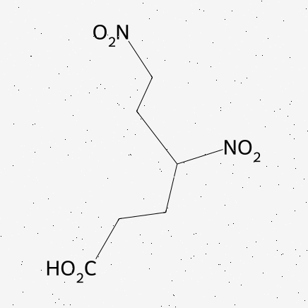 O=C(O)CCC(CC[N+](=O)[O-])[N+](=O)[O-]